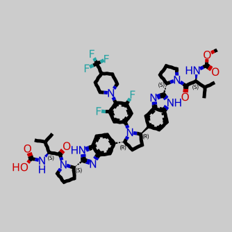 COC(=O)N[C@H](C(=O)N1CCC[C@H]1c1nc2cc([C@H]3CC[C@H](c4ccc5[nH]c([C@@H]6CCCN6C(=O)[C@@H](NC(=O)O)C(C)C)nc5c4)N3c3cc(F)c(N4CCC(C(F)(F)F)CC4)c(F)c3)ccc2[nH]1)C(C)C